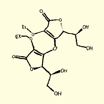 CCOC1=C(OC2=C(OCC)C(=O)O[C@@H]2[C@@H](O)CO)[C@@H]([C@@H](O)CO)OC1=O